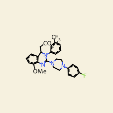 COc1cccc2c1N=C(N1CCN(c3ccc(F)cc3)CC1)N(c1cccc(C(F)(F)F)c1)C2CC(=O)O